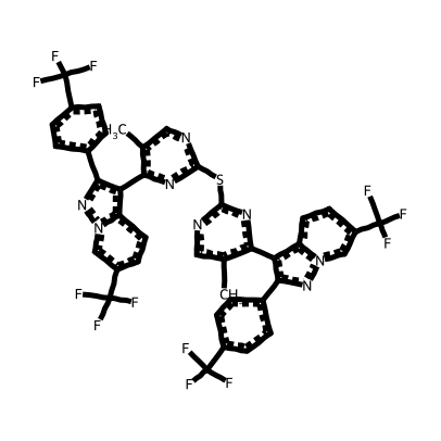 Cc1cnc(Sc2ncc(C)c(-c3c(-c4ccc(C(F)(F)F)cc4)nn4cc(C(F)(F)F)ccc34)n2)nc1-c1c(-c2ccc(C(F)(F)F)cc2)nn2cc(C(F)(F)F)ccc12